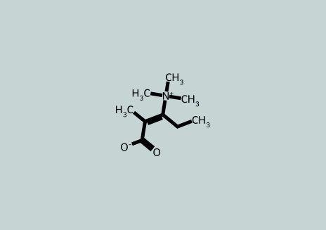 CCC(=C(C)C(=O)[O-])[N+](C)(C)C